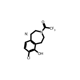 O=C(N1CCc2ccc(Cl)c(O)c2CC1)C(F)(F)F.[N]